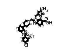 Cn1cc(Cn2c(CN3CCC(c4cccc5c4OC(C)(c4ccc(Cl)cc4F)O5)CC3)nc3ccc(C(=O)O)cc32)nn1